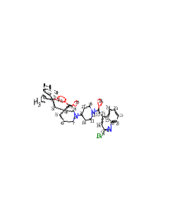 CC1(C)CC2(CCCN(C3CCN(C(=O)c4cc(Br)nc5ccccc45)CC3)C2)C(=O)O1